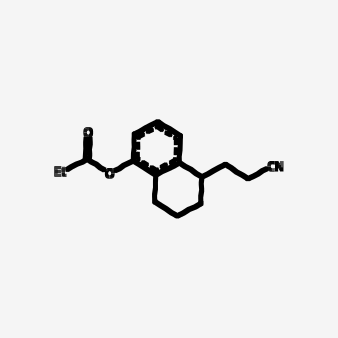 CCC(=O)Oc1cccc2c1CCCC2CCC#N